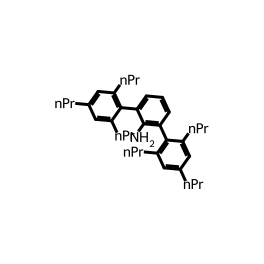 CCCc1cc(CCC)c(-c2cccc(-c3c(CCC)cc(CCC)cc3CCC)c2N)c(CCC)c1